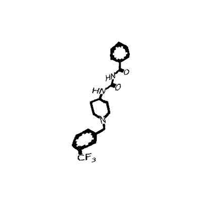 O=C(NC(=O)c1ccccc1)NC1CCN(Cc2cccc(C(F)(F)F)c2)CC1